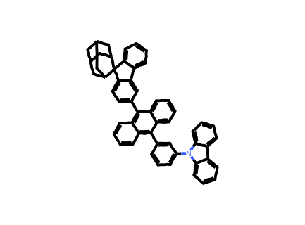 c1cc(-c2c3ccccc3c(-c3ccc4c(c3)-c3ccccc3C43C4CC5CC(C4)CC3C5)c3ccccc23)cc(-n2c3ccccc3c3ccccc32)c1